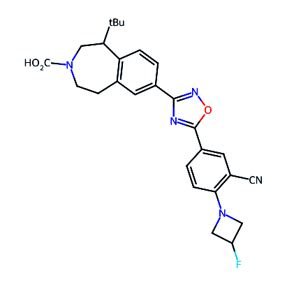 CC(C)(C)C1CN(C(=O)O)CCc2cc(-c3noc(-c4ccc(N5CC(F)C5)c(C#N)c4)n3)ccc21